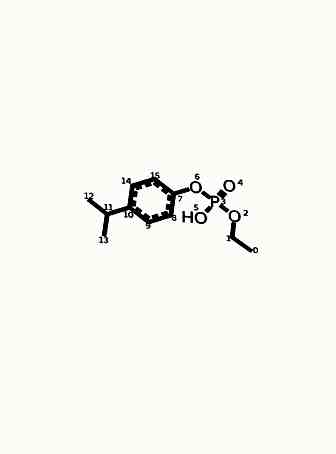 CCOP(=O)(O)Oc1ccc(C(C)C)cc1